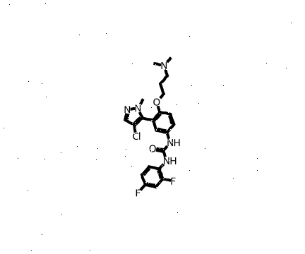 CN(C)CCCOc1ccc(NC(=O)Nc2ccc(F)cc2F)cc1-c1c(Cl)cnn1C